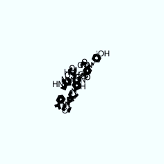 CC(C)c1ccccc1[C@@H]1COCCN1C1CC2(CCN(c3ccc(C(=O)NS(=O)(=O)c4ccc(NC[C@H]5CC[C@](C)(O)CC5)c([N+](=O)[O-])c4)c(N4C[C@H]5CCOC[C@@H]5Oc5nc6[nH]ccc6cc54)c3)CC2)C1